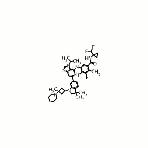 Cc1c(C(=O)NC2(C(F)F)CC2)cc(Nc2nc(-c3ccc4c(c3)N([C@H]3C[C@@](C)(N5CCCCC5)C3)CC4(C)C)cc3ncn(C(C)C)c23)c(F)c1F